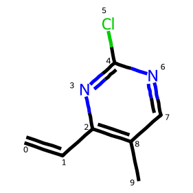 C=Cc1nc(Cl)ncc1C